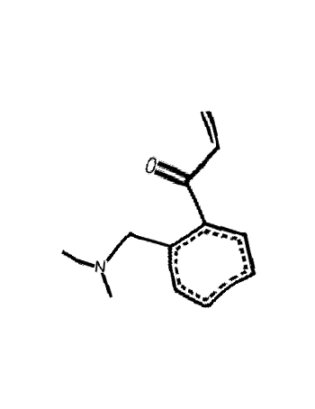 C=CC(=O)c1ccccc1CN(C)C